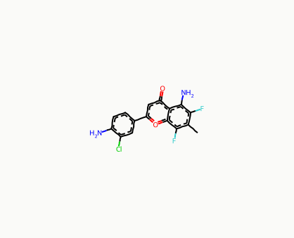 Cc1c(F)c(N)c2c(=O)cc(-c3ccc(N)c(Cl)c3)oc2c1F